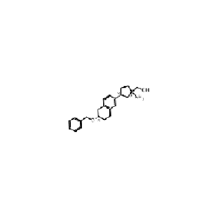 N[C@]1(CO)CC[C@H](c2ccc3c(c2)CC[C@H](OCc2ccccc2)C3)C1